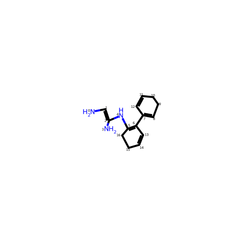 N/C=C(\N)NC1=C(C2=CCCC=C2)C=CCC1